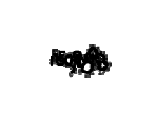 CCCN=S(=O)(N[C@@H]1CCCCC[C@@H](N2c3ccccc3CCc3ccccc32)[C@@H]1O)c1ccc(OC(F)(F)F)cc1